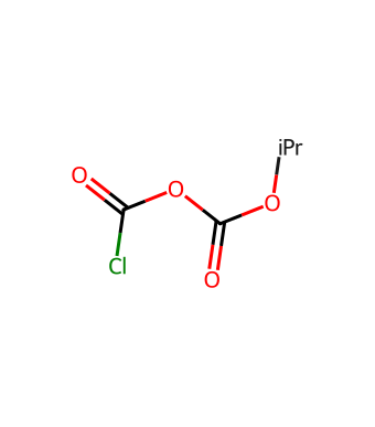 CC(C)OC(=O)OC(=O)Cl